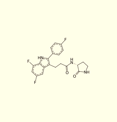 O=C(CCc1c(-c2ccc(F)cc2)[nH]c2c(F)cc(F)cc12)N[C@@H]1CCNC1=O